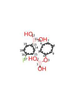 OB(O)Oc1ccccc1.OB(O)c1ccc(F)cc1